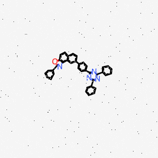 c1ccc(-c2nc(-c3ccccc3)nc(-c3ccc(-c4ccc5ccc6oc(-c7ccccc7)nc6c5c4)cc3)n2)cc1